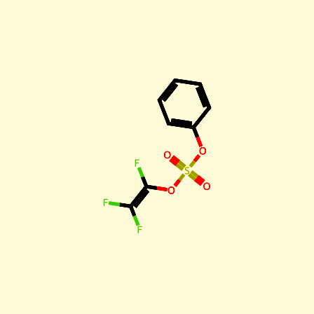 O=S(=O)(OC(F)=C(F)F)Oc1ccccc1